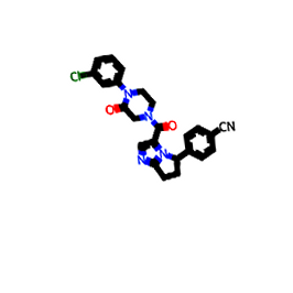 N#Cc1ccc(C2CCc3ncc(C(=O)N4CCN(c5cccc(Cl)c5)C(=O)C4)n32)cc1